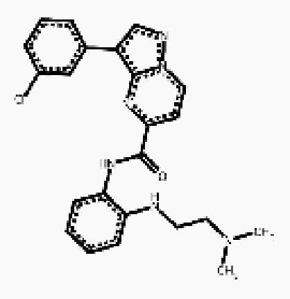 CN(C)CCNc1ccccc1NC(=O)c1ccn2ncc(-c3cccc(Cl)c3)c2n1